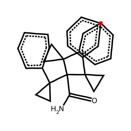 NC(=O)C(C1(c2ccccc2)CC1)(C1(c2ccccc2)CC1)C1(c2ccccc2)CC1